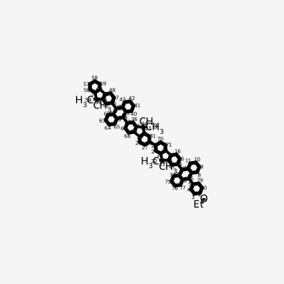 CCOc1ccc(-c2c3ccccc3c(-c3ccc4c(c3)C(C)(C)c3cc(-c5ccc6c(c5)C(C)(C)c5cc(-c7c8ccccc8c(-c8ccc9c(c8)C(C)(C)c8ccccc8-9)c8ccccc78)ccc5-6)ccc3-4)c3ccccc23)cc1